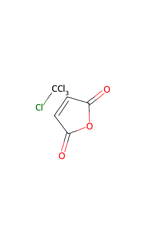 ClC(Cl)(Cl)Cl.O=C1C=CC(=O)O1